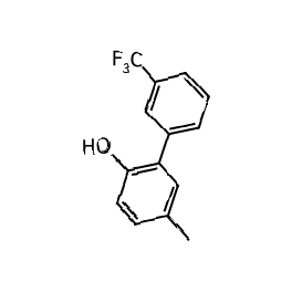 Cc1ccc(O)c(-c2cccc(C(F)(F)F)c2)c1